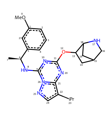 COc1cccc([C@H](C)Nc2nc(OC3CC4CNC3C4)nc3c(C(C)C)cnn23)c1